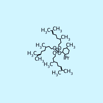 CC(C)=CCCC(C)CCO[Si](OCCC(C)CCC=C(C)C)(OCCC(C)CCC=C(C)C)OC1CC(C)CCC1C(C)C